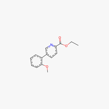 CCOC(=O)c1ccc(-c2ccccc2OC)cn1